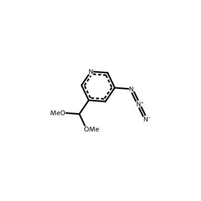 COC(OC)c1cncc(N=[N+]=[N-])c1